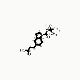 CC(C)(C)OC(=O)n1ccc2cc(CCC(=O)O)ccc21